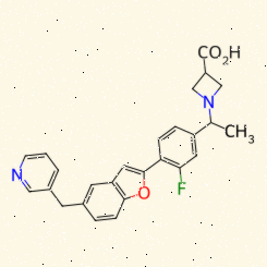 CC(c1ccc(-c2cc3cc(Cc4cccnc4)ccc3o2)c(F)c1)N1CC(C(=O)O)C1